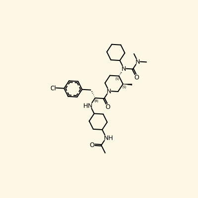 CC(=O)NC1CCC(N[C@H](Cc2ccc(Cl)cc2)C(=O)N2CC[C@H](N(C(=O)N(C)C)C3CCCCC3)[C@@H](C)C2)CC1